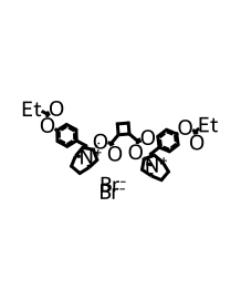 CCC(=O)Oc1ccc(C[N+]2(C)C3CCC2CC(OC(=O)C2CCC2C(=O)O[C@H]2CC4CCC(C2)[N@@+]4(C)Cc2ccc(OC(=O)CC)cc2)C3)cc1.[Br-].[Br-]